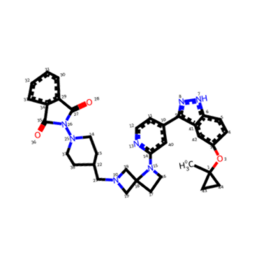 CC1(Oc2ccc3[nH]nc(-c4ccnc(N5CCC56CN(CC5CCN(N7C(=O)c8ccccc8C7=O)CC5)C6)c4)c3c2)CC1